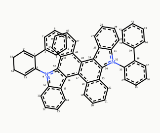 C1=C(c2ccccc2)C(n2c3ccccc3c3c4c5ccccc5c5c(c6ccccc6n5-c5ccccc5-c5ccccc5)c4c4ccccc4c32)=CCC1